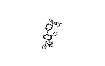 COc1cc([N+](=O)[O-])ccc1-c1[c]c([N+](=O)[O-])ccc1